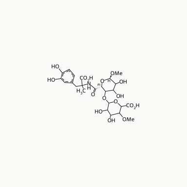 COC1C(C(=O)O)OC(OC2C(O)C(O)[C@H](OC)O[C@H]2C(=O)NC(C)(Cc2ccc(O)c(O)c2)C(=O)O)C(O)C1O